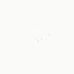 CN1CCC[C@@H](CNC(=O)N(CCO)CCC2CCCCC2)C1